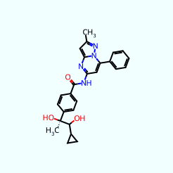 Cc1cc2nc(NC(=O)c3ccc([C@](C)(O)C(O)C4CC4)cc3)cc(-c3ccccc3)n2n1